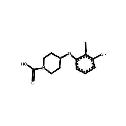 Cc1c(S)cccc1OC1CCN(C(=O)O)CC1